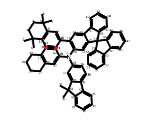 CC1(C)CCC(C)(C)c2cc(-c3cc4c(cc3N(c3ccc5c(c3)CCCC5)c3ccc5c(c3)C(C)(C)c3ccccc3-5)C3(c5ccccc5-c5ccccc53)c3ccccc3-4)ccc21